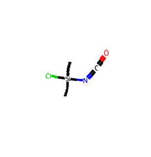 C[Si](C)(Cl)N=C=O